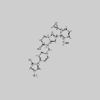 CCn1nc(C(F)(F)F)nc1-c1ccc(CN2C(=O)CCn3nc(-c4c(OC)ncnc4C4CC4)cc32)cc1